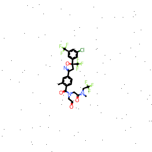 Cc1cc(C2=NOC(c3cc(Cl)cc(C(F)(F)F)c3)(C(F)(F)F)C2)ccc1C(=O)N(CC=O)CC(=O)N(C)CC(F)(F)F